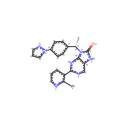 CC(C)c1ncccc1-c1ncc2[nH]c(=O)n([C@@H](C)c3ccc(-n4cccn4)cc3)c2n1